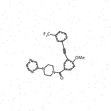 COc1ccc(C(=O)N2CCN(c3cnccn3)CC2)cc1C#Cc1cccc(C(F)(F)F)c1